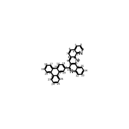 c1cnc2c(c1)ccc1cc3c(-c4ccc5c6ccccc6c6ccccc6c5c4)nc4ccccc4c3nc12